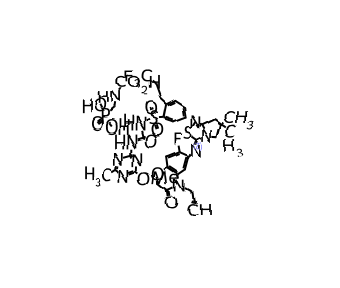 C#CCN1C(=O)COc2cc(F)c(/N=c3\snc4n3CC(C)(C)C4)cc21.COc1nc(C)nc(NC(=O)NS(=O)(=O)c2ccccc2CCC(F)(F)F)n1.O=C(O)CNCP(=O)(O)O